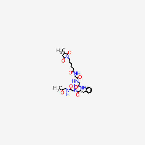 CC(=O)CNC(=O)CNC(=O)[C@H](Cc1ccccc1)NC(=O)CNC(=O)CNC(=O)CCCCCN1C(=O)CC(C)C1=O